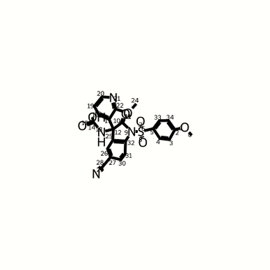 COc1ccc(S(=O)(=O)N2C(=O)C(NC(=O)O)(c3cccnc3OC)c3cc(C#N)ccc32)cc1